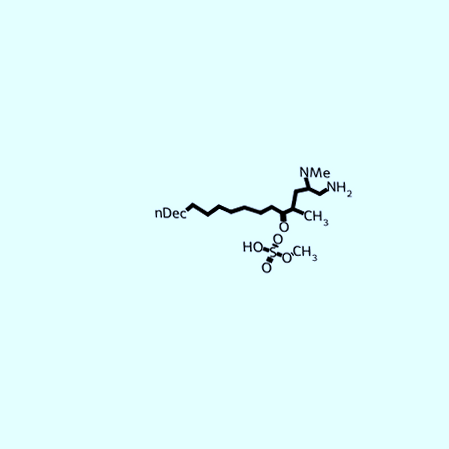 CCCCCCCCCCCCCCCCCC(=O)C(C)CC(CN)NC.COS(=O)(=O)O